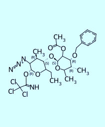 CCC1O[C@H](OC(=N)C(Cl)(Cl)Cl)C(N=[N+]=[N-])[C@@H](C)[C@@H]1O[C@@H]1OC(C)[C@@H](C)[C@@H](OCc2ccccc2)C1OC(C)=O